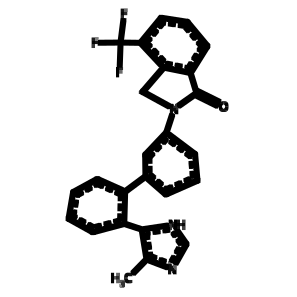 Cc1nc[nH]c1-c1ccccc1-c1cccc(N2Cc3c(cccc3C(F)(F)F)C2=O)c1